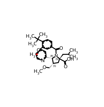 COC[C@H]1C[C@@](CC(C)C)(C(=O)O)N(C(=O)c2ccc(C(C)(C)C)c(OC)c2)[C@H]1c1ccccn1